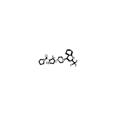 C[C@@H]1[C@@H](C(=O)N2CCCC2)NC[C@H]1N1CCN(c2cc(C(F)(F)F)nc3ccccc23)CC1